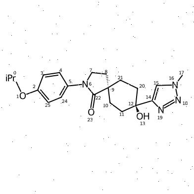 CC(C)Oc1ccc(N2CC[C@]3(CC[C@@](O)(c4cn(C)nn4)CC3)C2=O)cc1